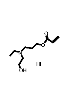 C=CC(=O)OCCCN(CC)CCO.I